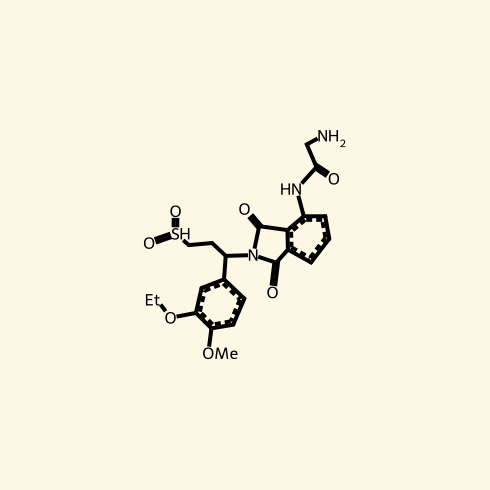 CCOc1cc(C(CC[SH](=O)=O)N2C(=O)c3cccc(NC(=O)CN)c3C2=O)ccc1OC